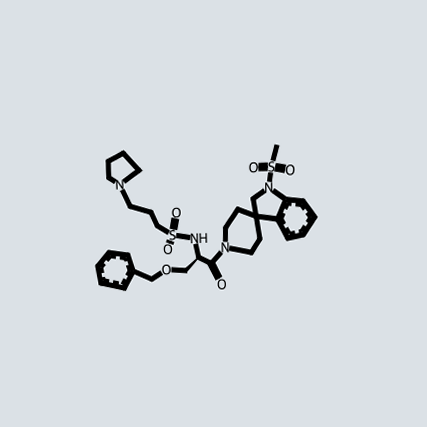 CS(=O)(=O)N1CC2(CCN(C(=O)[C@@H](COCc3ccccc3)NS(=O)(=O)CCCN3CCCC3)CC2)c2ccccc21